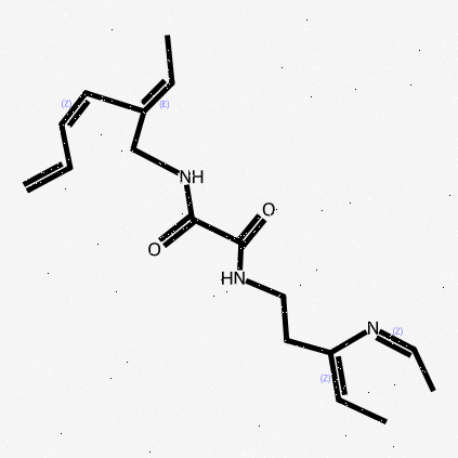 C=C/C=C\C(=C/C)CNC(=O)C(=O)NCCC(=C/C)/N=C\C